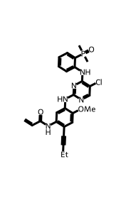 C=CC(=O)Nc1cc(Nc2ncc(Cl)c(Nc3ccccc3P(C)(C)=O)n2)c(OC)cc1C#CCC